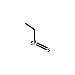 C[CH2][Sn]=[S]